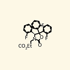 CCOC(=O)CN1C(=O)OC(c2ccccc2F)(c2ccccc2F)[C@@H]1c1ccccc1F